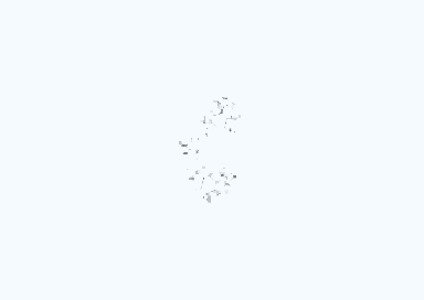 Nc1cc(S(=O)(=O)CCOS(=O)(=O)OCCS(=O)(=O)c2cc(N)c(O)c(S(=O)(=O)O)c2)cc(S(=O)(=O)O)c1O